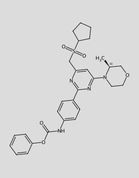 C[C@H]1COCCN1c1cc(CS(=O)(=O)C2CCCC2)nc(-c2ccc(NC(=O)Oc3ccccc3)cc2)n1